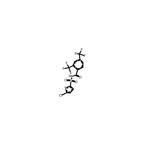 O=C(NS(=O)(=O)c1ccc(Cl)s1)c1ccc(C(F)(F)F)cc1C(F)(F)F